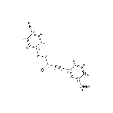 COc1cc(C#CC(O)CCc2ccc(F)cc2)ncn1